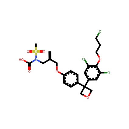 C=C(COc1ccc(C2(c3cc(Cl)c(OCCCCl)c(Cl)c3)COC2)cc1)CN(C(=O)O)S(C)(=O)=O